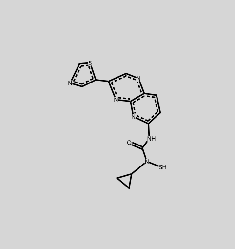 O=C(Nc1ccc2ncc(-c3cncs3)nc2n1)N(S)C1CC1